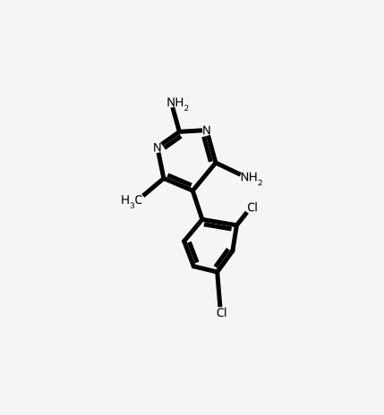 Cc1nc(N)nc(N)c1-c1ccc(Cl)cc1Cl